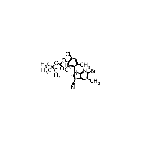 Cc1cc2c(C#N)[c]n(-c3c(C)cc(Cl)c(OC(=O)OC(C)(C)C)c3C)c2nc1Br